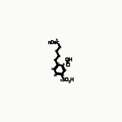 CCCCCCCCCCCCCCc1ccc(S(=O)(=O)O)cc1.OCl